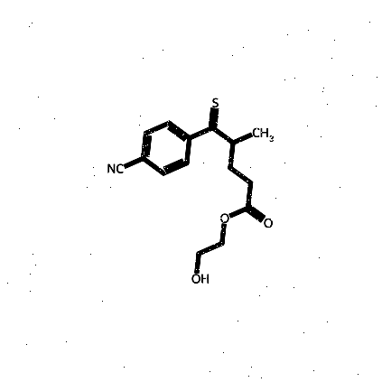 CC(CCC(=O)OCCO)C(=S)c1ccc(C#N)cc1